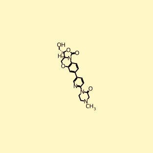 CN1CCN(c2ccc(-c3ccc4c(c3)OC[C@H]3[C@H](CO)OC(=O)N43)cn2)C(=O)C1